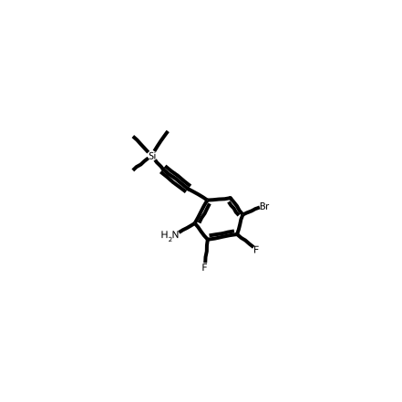 C[Si](C)(C)C#Cc1cc(Br)c(F)c(F)c1N